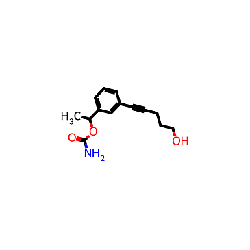 CC(OC(N)=O)c1cccc(C#CCCCO)c1